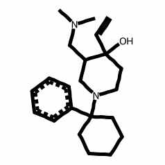 C=CC1(O)CCN(C2(c3ccccc3)CCCCC2)CC1CN(C)C